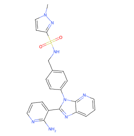 Cn1ccc(S(=O)(=O)NCc2ccc(-n3c(-c4cccnc4N)nc4cccnc43)cc2)n1